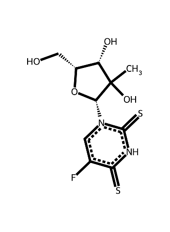 CC1(O)[C@@H](O)[C@@H](CO)O[C@H]1n1cc(F)c(=S)[nH]c1=S